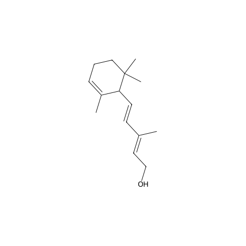 CC1=CCCC(C)(C)C1/C=C/C(C)=C/CO